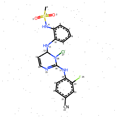 CS(=O)(=O)Nc1ccccc1NC1C=CN=C(Nc2ccc(C#N)cc2F)N1Cl